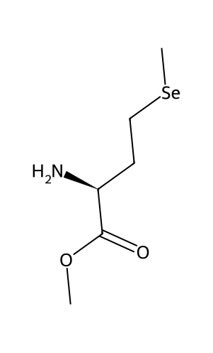 COC(=O)[C@@H](N)CC[Se]C